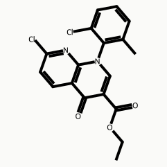 CCOC(=O)c1cn(-c2c(C)cccc2Cl)c2nc(Cl)ccc2c1=O